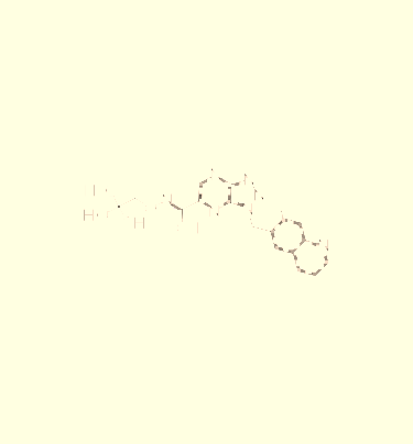 C/C(=N\OCC(C)(C)O)c1cnc2nnn(Cc3cc4cccnc4cc3F)c2n1